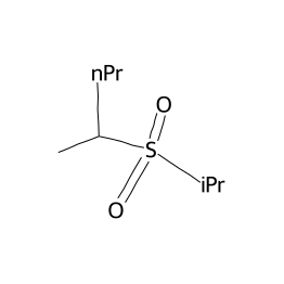 CCCC(C)S(=O)(=O)C(C)C